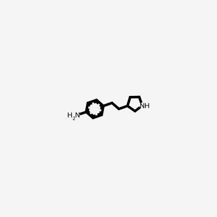 Nc1ccc(CCC2CCNC2)cc1